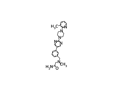 Cc1cccnc1N1CCN(c2ncc(-c3cccc(CN(C)CC(N)=O)c3)cn2)CC1